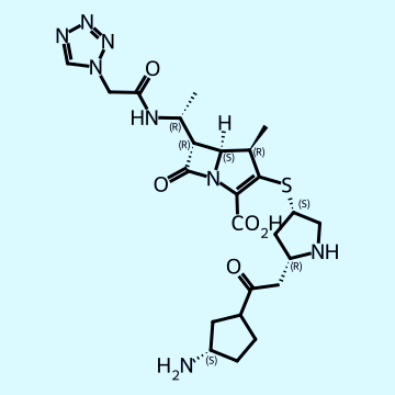 C[C@@H](NC(=O)Cn1cnnn1)[C@H]1C(=O)N2C(C(=O)O)=C(S[C@@H]3CN[C@H](CC(=O)C4CC[C@H](N)C4)C3)[C@H](C)[C@H]12